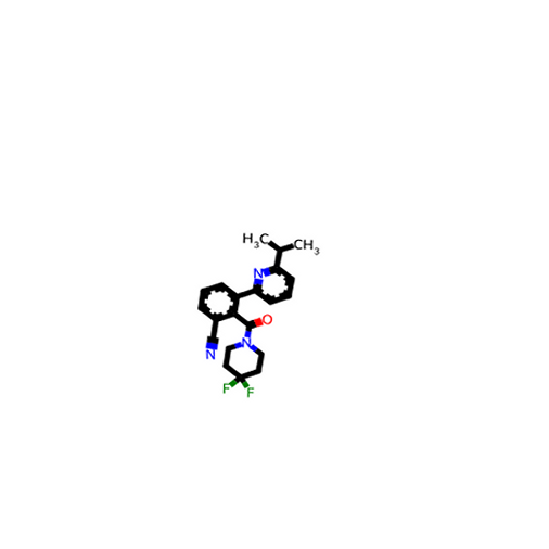 CC(C)c1cccc(-c2cccc(C#N)c2C(=O)N2CCC(F)(F)CC2)n1